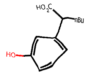 CCCCC(C(=O)O)c1cccc(O)c1